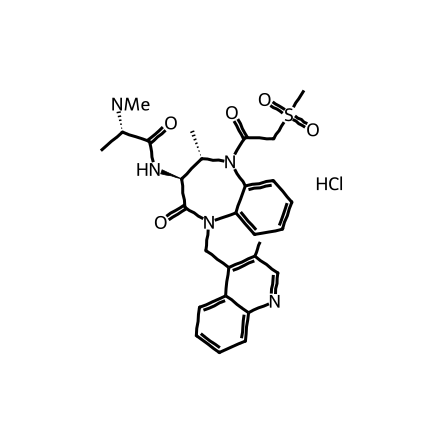 CN[C@@H](C)C(=O)N[C@@H]1C(=O)N(Cc2c(C)cnc3ccccc23)c2ccccc2N(C(=O)CS(C)(=O)=O)[C@H]1C.Cl